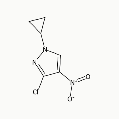 O=[N+]([O-])c1cn(C2CC2)nc1Cl